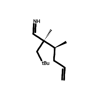 C=CC[C@H](C)[C@](C)(C=N)CC(C)(C)C